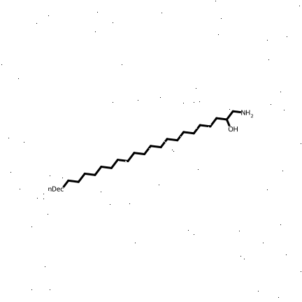 CCCCCCCCCCCCCCCCCCCCCCCCCCCCCC(O)CN